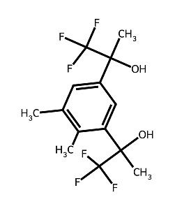 Cc1cc(C(C)(O)C(F)(F)F)cc(C(C)(O)C(F)(F)F)c1C